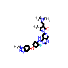 C[C@H]1CN(c2cc3c(Nc4ccc(Oc5ccc6c(c5)nnn6C)cc4F)ncnc3cn2)C(=O)/C1=C/CN(C)C